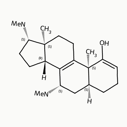 CN[C@H]1C[C@@H]2CCC=C(O)[C@]2(C)C2=C1[C@@H]1CC[C@H](NC)[C@@]1(C)CC2